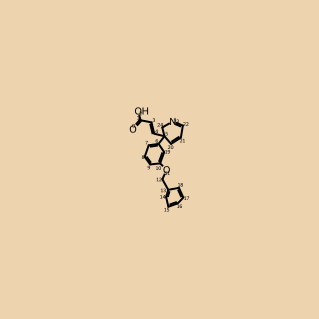 O=C(O)/C=C/C1(c2cccc(OCc3ccccc3)c2)C=CC=NC1